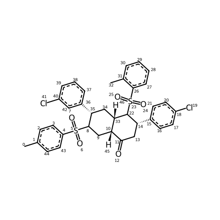 Cc1ccc(S(=O)(=O)C2C[C@H]3C(=O)C[C@@H](c4ccc(Cl)cc4)C(S(=O)(=O)c4ccccc4C)[C@H]3C[C@H]2c2cccc(Cl)c2)cc1